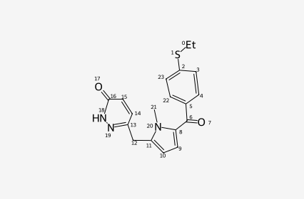 CCSc1ccc(C(=O)c2ccc(Cc3ccc(=O)[nH]n3)n2C)cc1